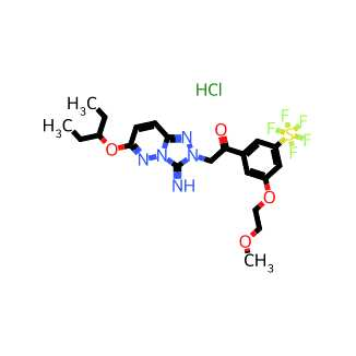 CCC(CC)Oc1ccc2nn(CC(=O)c3cc(OCCOC)cc(S(F)(F)(F)(F)F)c3)c(=N)n2n1.Cl